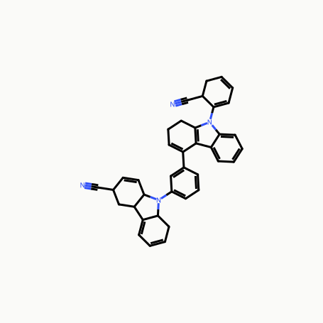 N#CC1C=CC2C(C1)C1=CC=CCC1N2c1cccc(C2=CCCc3c2c2ccccc2n3C2=CC=CCC2C#N)c1